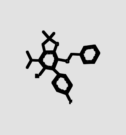 CC(C)c1c(Br)c(-c2ccc(F)cc2)c(OCc2ccccc2)c2c1CC(C)(C)O2